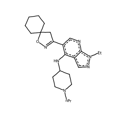 CCCN1CCC(Nc2c(C3=NOC4(CCCCC4)C3)cnc3c2cnn3CC)CC1